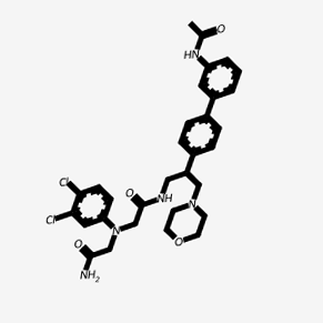 CC(=O)Nc1cccc(-c2ccc(C(CNC(=O)CN(CC(N)=O)c3ccc(Cl)c(Cl)c3)CN3CCOCC3)cc2)c1